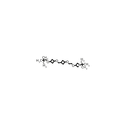 CC(C)(C)COC1CC(OCC2CC(OCCOC3CN(C(C)(C)C)C3)C2)C1